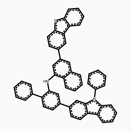 c1ccc(-c2ccc(-c3ccc4c5ccccc5n(-c5ccccc5)c4c3)cc2Nc2cc(-c3ccc4sc5ccccc5c4c3)cc3ccccc23)cc1